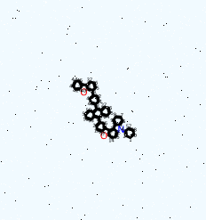 c1ccc(-n2c3ccccc3c3c4c(ccc32)oc2ccc(-c3c5ccccc5c(-c5ccc(-c6cccc7c6oc6ccccc67)cc5)c5ccccc35)cc24)cc1